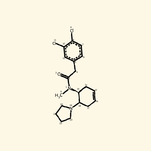 CN(C(=O)Cc1ccc(Cl)c(Cl)c1)[C@H]1CC=CCC1N1CCCC1